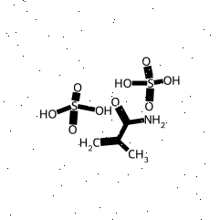 C=C(C)C(N)=O.O=S(=O)(O)O.O=S(=O)(O)O